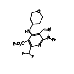 CCOC(=O)c1c(C(F)F)nc2c(cnn2CC)c1NC1CCOCC1